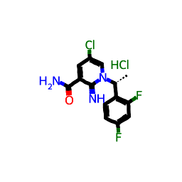 C[C@H](c1ccc(F)cc1F)n1cc(Cl)cc(C(N)=O)c1=N.Cl